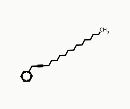 CCCCCCCCCCCCCCC#CCc1[c]cccc1